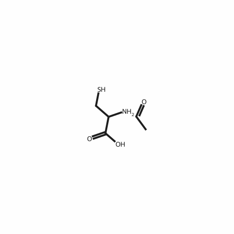 CC=O.NC(CS)C(=O)O